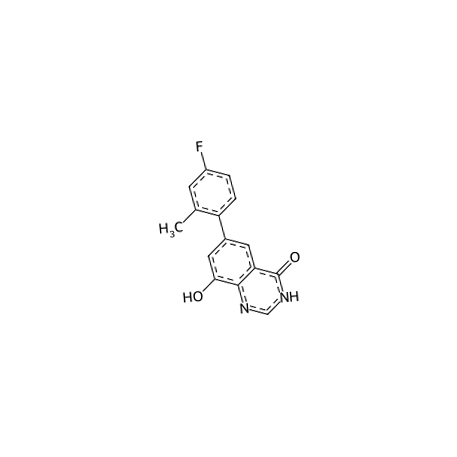 Cc1cc(F)ccc1-c1cc(O)c2nc[nH]c(=O)c2c1